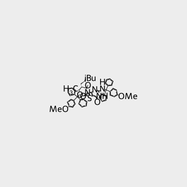 CC[C@H](C)[C@@H]1C[C@@H]([C@@H](C)OC(c2ccccc2)(c2ccccc2)c2ccc(OC)cc2)[C@H](n2c(=O)sc3c(=O)[nH]c(NC(c4ccccc4)(c4ccccc4)c4ccc(OC)cc4)nc32)O1